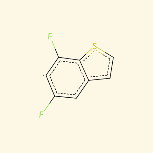 Fc1[c]c(F)c2sccc2c1